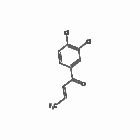 O=C(/C=C/C(F)(F)F)c1ccc(Cl)c(Cl)c1